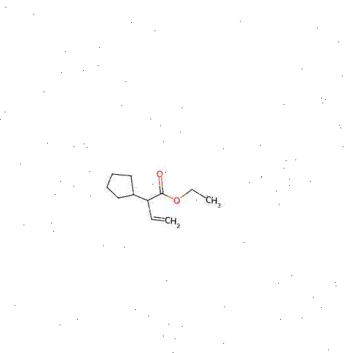 C=CC(C(=O)OCC)C1CCCC1